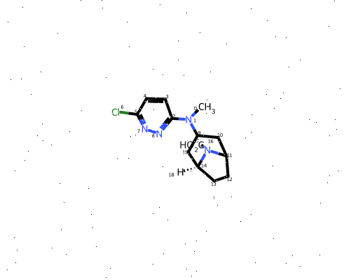 CN(c1ccc(Cl)nn1)C1CC2CC[C@@H](C1)N2C(=O)O